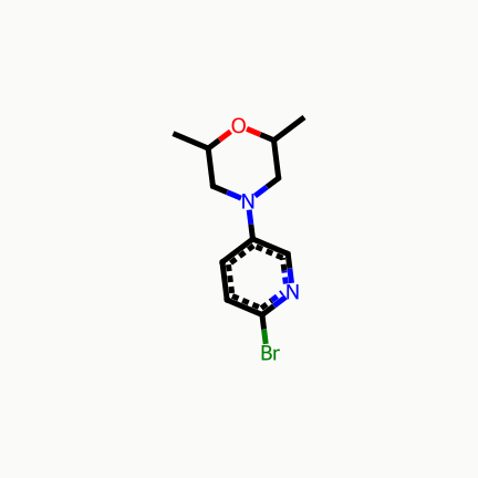 CC1CN(c2ccc(Br)nc2)CC(C)O1